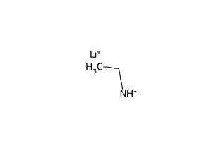 CC[NH-].[Li+]